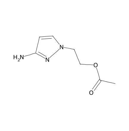 CC(=O)OCCn1ccc(N)n1